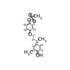 Cc1cc(C(C)CCOc2ccc(OS(C)(=O)=O)cc2)ccc1O